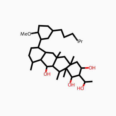 COC1CCC(CCCC(C)C)CC1C1CCC(C)C2C(O)C3C(C)C4(C)C(O)C(C(C)O)C(O)CC4(C)CC3(C)CC12